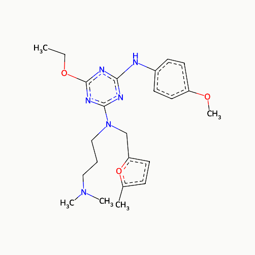 CCOc1nc(Nc2ccc(OC)cc2)nc(N(CCCN(C)C)Cc2ccc(C)o2)n1